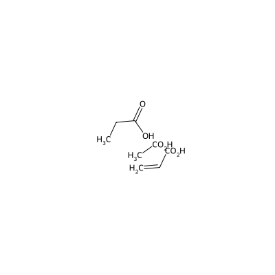 C=CC(=O)O.CC(=O)O.CCC(=O)O